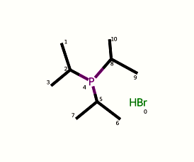 Br.CC(C)P(C(C)C)C(C)C